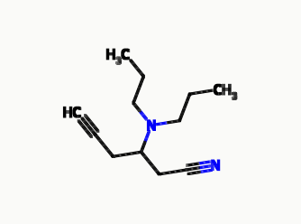 C#CCC(CC#N)N(CCC)CCC